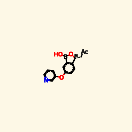 CC(=O)C[C@H]1OB(O)c2cc(Oc3cccnc3)ccc21